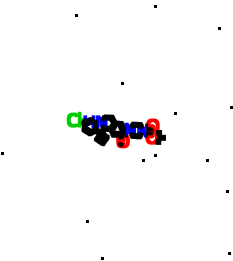 COc1cc2c(cc1N1CCN(C(=O)OC(C)(C)C)CC1)CCNC2C1(c2ccc(Cl)cc2)CCC1